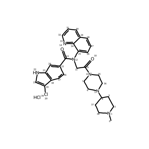 CN1CCC(N2CCN(C(=O)CN(C(=O)c3ccc4c(Cl)c[nH]c4c3)c3cccc4cccnc34)CC2)CC1.Cl